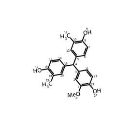 COc1cc(C(c2ccc(O)c(C)c2)c2ccc(O)c(C)c2)ccc1O